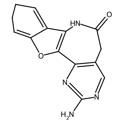 Nc1ncc2c(n1)-c1oc3c(c1NC(=O)C2)=CCCC=3